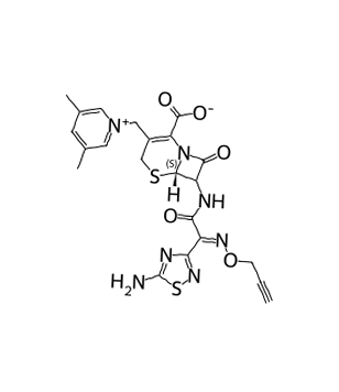 C#CCON=C(C(=O)NC1C(=O)N2C(C(=O)[O-])=C(C[n+]3cc(C)cc(C)c3)CS[C@@H]12)c1nsc(N)n1